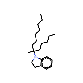 CCCCCCCC(C)(CCCCC)N1CCc2ccccc21